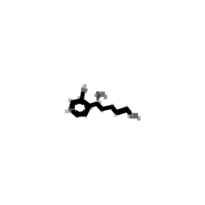 C/C=C/CC[C@@H](N)c1ccncc1Br